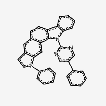 c1ccc(-c2cnc(-n3c4ccccc4c4ccc5cc6ccn(-c7ccccc7)c6cc5c43)nc2)cc1